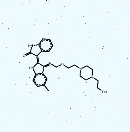 Cc1ccc2c(c1)C(=N\COCCN1CCN(CCO)CC1)/C(=C1/C(=O)Nc3ccccc31)N2